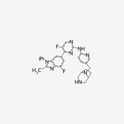 Cc1nc2c(F)cc(-c3nc(Nc4ccc(CN5C6CCC5CNC6)cn4)ncc3F)cc2n1C(C)C